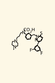 CN1CCN(CCCN(C(=O)O)c2cccc(Cn3nc(-c4cc(F)cc(F)c4)ccc3=S)c2)CC1